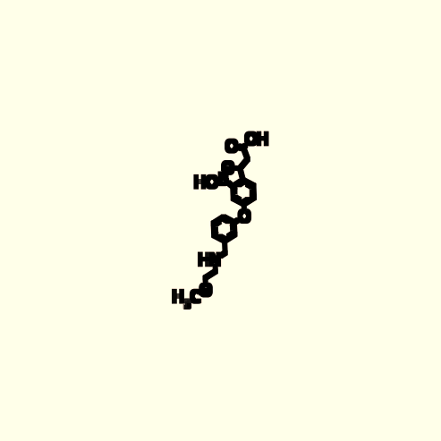 COCCNCc1cccc(Oc2ccc3c(c2)B(O)OC3CC(=O)O)c1